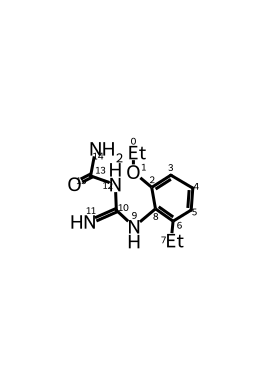 CCOc1cccc(CC)c1NC(=N)NC(N)=O